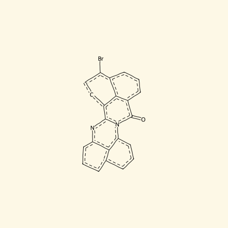 O=c1c2cccc3c(Br)ccc(c32)c2nc3cccc4cccc(c43)n12